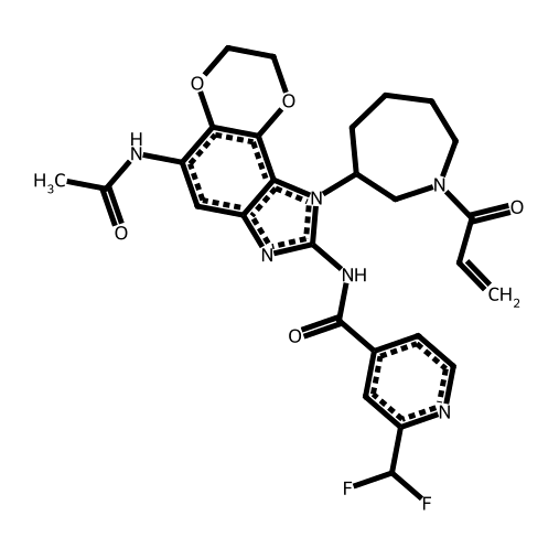 C=CC(=O)N1CCCCC(n2c(NC(=O)c3ccnc(C(F)F)c3)nc3cc(NC(C)=O)c4c(c32)OCCO4)C1